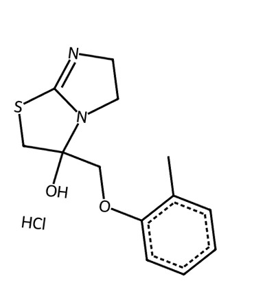 Cc1ccccc1OCC1(O)CSC2=NCCN21.Cl